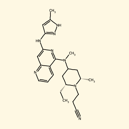 CC[C@@H]1CC(N(C)c2nc(Nc3cc(C)[nH]n3)cc3ncccc23)C[C@H](C)N1CCC#N